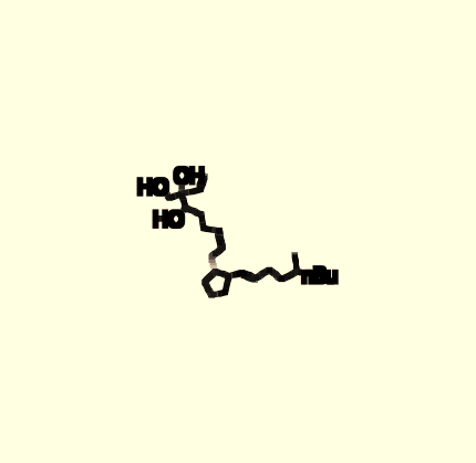 C=CC(O)(CO)C(O)CC/C=C\C[C@H]1CCC[C@@H]1/C=C/CCC(C)CCCC